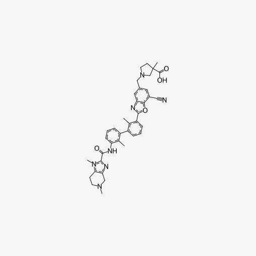 Cc1c(NC(=O)c2nc3c(n2C)CCN(C)C3)cccc1-c1cccc(-c2nc3cc(CN4CCC(C)(C(=O)O)C4)cc(C#N)c3o2)c1C